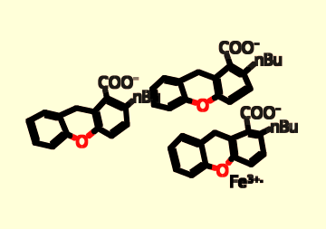 CCCCc1ccc2c(c1C(=O)[O-])Cc1ccccc1O2.CCCCc1ccc2c(c1C(=O)[O-])Cc1ccccc1O2.CCCCc1ccc2c(c1C(=O)[O-])Cc1ccccc1O2.[Fe+3]